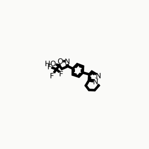 OC1(C(F)(F)F)CC(c2ccc(-c3cnn4c3CCCC4)cc2)=NO1